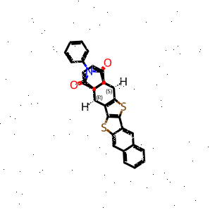 O=C1C2C(C(=O)N1c1ccccc1)[C@H]1c3sc4c(sc5cc6ccccc6cc54)c3[C@@H]2C2C=CC=CC21